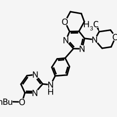 CCCCOc1ccnc(Nc2ccc(-c3nc4c(c(N5CCOC[C@@H]5C)n3)CCCO4)cc2)n1